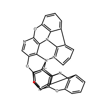 c1cc2c3c(c1)c1ccc[n+]4c1n3-c1c(ncc3c1[N+]41c4c(cnc5c4-n4c6c(cccc6c6ccc[n+]1c64)O5)O3)O2